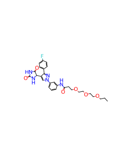 CCCOCCOCCOCCC(=O)Nc1cccc(-n2cc(C3NC(=O)NC3=O)c(-c3ccc(F)cc3)n2)c1